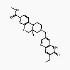 CCc1cc2ncc(CN3CCN4c5ccc(C(=O)NC)nc5OC[C@H]4C3)cc2[nH]c1=O